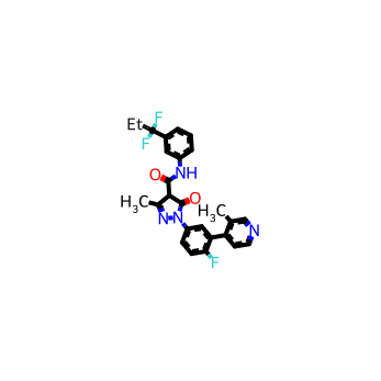 CCC(F)(F)c1cccc(NC(=O)C2C(=O)N(c3ccc(F)c(-c4ccncc4C)c3)N=C2C)c1